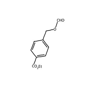 CCOC(=O)c1ccc(CO[C]=O)cc1